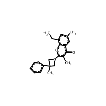 [CH2]Cc1cc(C)cc2c(=O)c(C)c(N3CC(C)(c4ccccc4)C3)oc12